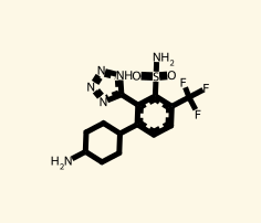 NC1CCC(c2ccc(C(F)(F)F)c(S(N)(=O)=O)c2-c2nnn[nH]2)CC1